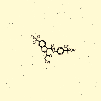 CCS(=O)(=O)c1ccc2c(c1)CN(C(=O)CC#N)C2C(=O)Nc1ccc(C(C)(O)C(F)(F)F)cc1